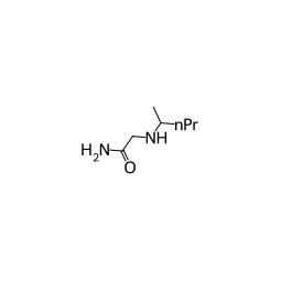 CCCC(C)NCC(N)=O